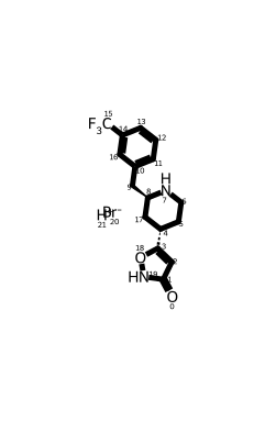 O=c1cc([C@H]2CCN[C@H](Cc3cccc(C(F)(F)F)c3)C2)o[nH]1.[Br-].[H+]